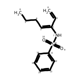 C=CC(=CCCC)NS(=O)(=O)c1ccccc1